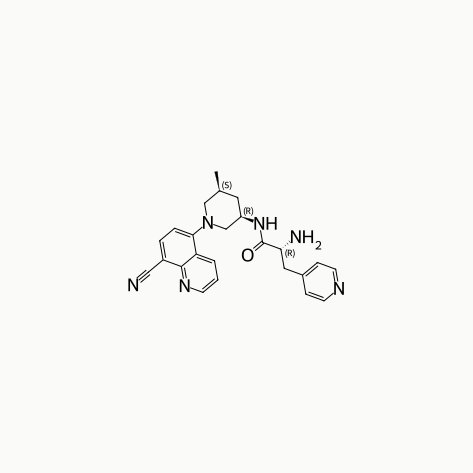 C[C@H]1C[C@@H](NC(=O)[C@H](N)Cc2ccncc2)CN(c2ccc(C#N)c3ncccc23)C1